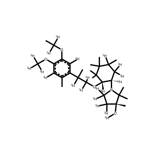 [2H]O[C@@]1(C)C(C)(C)N([C@]2([2H])C([2H])([2H])C([2H])(C)C(C)(C)C(C)(C)[C@@]2([2H])OC([2H])([2H])C([2H])(C)c2c([2H])c(OC([2H])([2H])C)c(OC([2H])([2H])[2H])c([2H])c2C)C([2H])([2H])C1([2H])[2H]